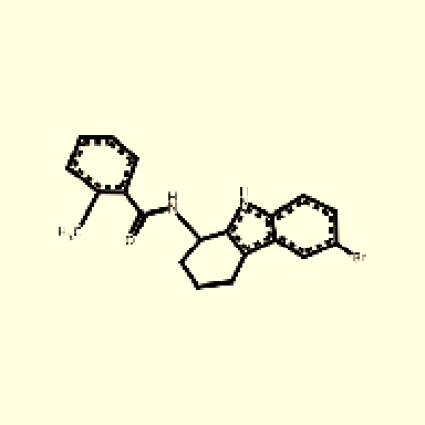 Cc1ccccc1C(=O)NC1CCCc2c1[nH]c1ccc(Br)cc21